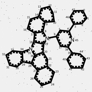 c1ccc(-c2cc(-n3c4c5ccccc5ccc4c4c3c3cc5ccccc5c5c6ccccc6n4c35)cc(-c3ccccc3)n2)cc1